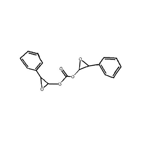 O=C(OC1OC1c1ccccc1)OC1OC1c1ccccc1